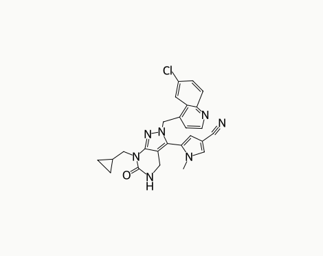 Cn1cc(C#N)cc1-c1c2c(nn1Cc1ccnc3ccc(Cl)cc13)N(CC1CC1)C(=O)NC2